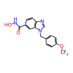 O=C(NO)c1ccc2ncn(Cc3ccc(OC(F)(F)F)cc3)c2c1